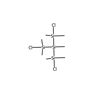 C[Si](C)(Cl)[Si](C)([Si](C)(C)Cl)[Si](C)(C)Cl